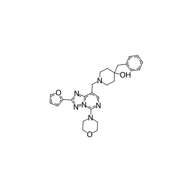 OC1(Cc2ccccc2)CCN(Cc2cnc(N3CCOCC3)n3nc(-c4ccco4)nc23)CC1